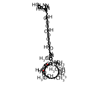 CO/N=C1/C[C@@H]([C@H](N)C[C@@H]2CC[C@H](n3cc(CCCC(=O)NCCOCCOCCOCCC(=O)NCCOCCOCCC(=O)NCCCCn4nc(-c5cc6cc(O)ccc6[nH]5)c5c(N)ncnc54)nn3)[C@H](OC)C2)OC(=O)[C@@H]2CCCCN2C(=O)C(=O)[C@]2(O)O[C@@H](CC[C@H]2C)C[C@H](OC)/C(C)=C/C=C/C=C/[C@@H](C)C[C@@H](C)C(=O)[C@H](O)[C@H](O)/C(C)=C/[C@H]1C